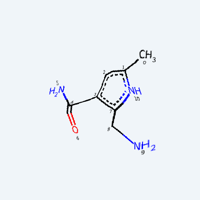 Cc1cc(C(N)=O)c(CN)[nH]1